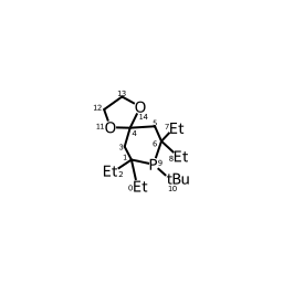 CCC1(CC)CC2(CC(CC)(CC)P1C(C)(C)C)OCCO2